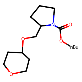 CCCCOC(=O)N1CCCC1COC1CCOCC1